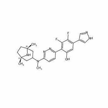 CN(c1ccc(-c2c(O)cc(-c3cn[nH]c3)c(F)c2F)nn1)C1C[C@]2(C)CC[C@](C)(C1)N2